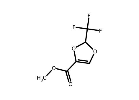 COC(=O)C1=COC(C(F)(F)F)O1